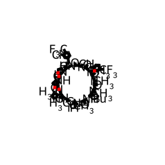 CC[C@H](C)[C@@H]1NC(=O)[C@H](CC(C)C)N(C)C(=O)C[C@@H](C)NC(=O)[C@H](C2CCCC2)N(C)C(=O)C2(CCC2)NC(=O)[C@@H]2CCCN2C(=O)[C@H](CCc2ccc(C(F)(F)F)c(Cl)c2)NC(=O)CN(C)C(=O)[C@H](Cc2ccc(C(F)(F)F)cc2)N(C)C(=O)CN(C)C(=O)CN(C)C1=O